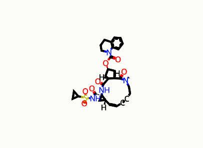 CN1CCCC/C=C\[C@@H]2C[C@@]2(C(=O)NS(=O)(=O)C2CC2)NC(=O)[C@@H]2C[C@@H](OC(=O)N3CCCc4ccccc43)C[C@H]2C1=O